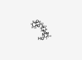 Cc1cc(O)nc(N2CCN(CC3COc4ccccc4O3)CC2)n1